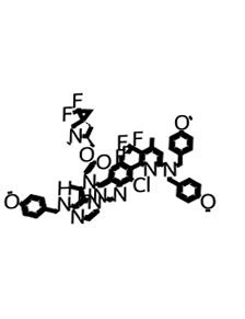 COc1ccc(CNc2nccnc2C(C)N2C=C(OC[C@@H]3C[C@@]4(CN3C)CC4(F)F)Oc3c(F)c(-c4nc(N(Cc5ccc(OC)cc5)Cc5ccc(OC)cc5)cc(C)c4C(F)(F)F)c(Cl)c4c3=C2NCN=4)cc1